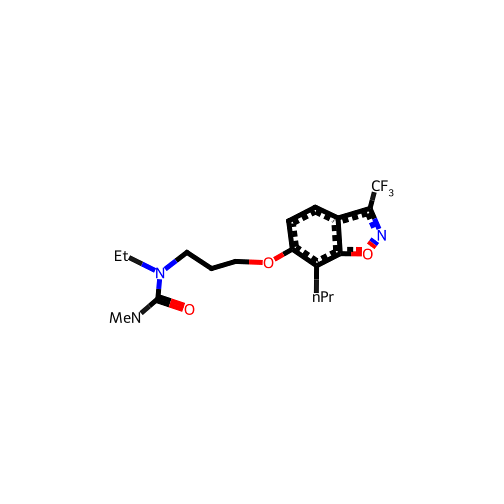 CCCc1c(OCCCN(CC)C(=O)NC)ccc2c(C(F)(F)F)noc12